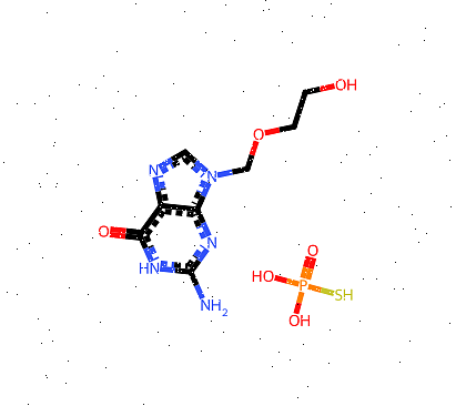 Nc1nc2c(ncn2COCCO)c(=O)[nH]1.O=P(O)(O)S